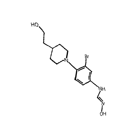 OCCC1CCN(c2ccc(N/C=N/O)cc2Br)CC1